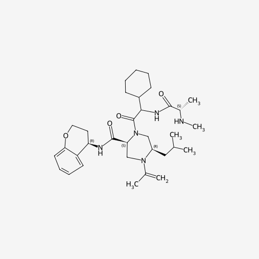 C=C(C)N1C[C@@H](C(=O)N[C@@H]2CCOc3ccccc32)N(C(=O)C(NC(=O)[C@H](C)NC)C2CCCCC2)C[C@H]1CC(C)C